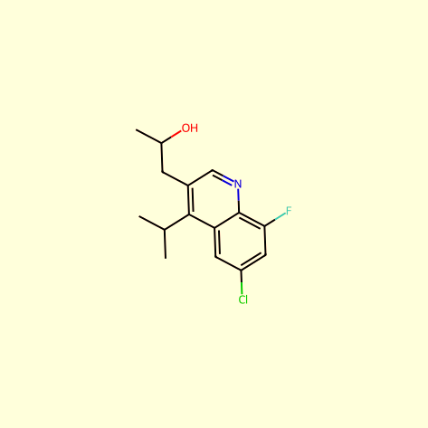 CC(O)Cc1cnc2c(F)cc(Cl)cc2c1C(C)C